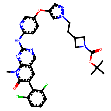 Cn1c(=O)c(-c2c(Cl)cccc2Cl)cc2cnc(Nc3ccc(Oc4cnn(CCC5CN(C(=O)OC(C)(C)C)C5)c4)cn3)nc21